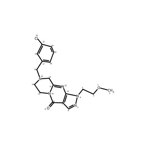 COCCn1ncc2c(=O)n3c(nc21)CN(Cc1cccc(Cl)c1)CC3